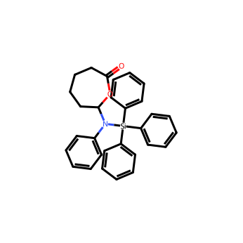 O=C1CCCCC(N(c2ccccc2)[Si](c2ccccc2)(c2ccccc2)c2ccccc2)O1